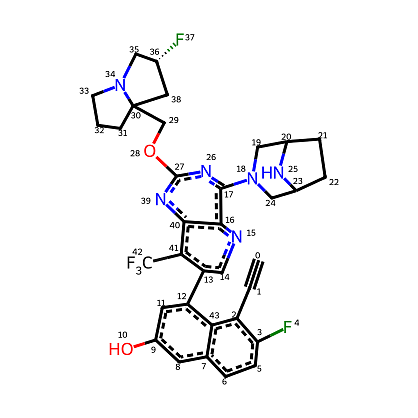 C#Cc1c(F)ccc2cc(O)cc(-c3cnc4c(N5CC6CCC(C5)N6)nc(OCC56CCCN5C[C@H](F)C6)nc4c3C(F)(F)F)c12